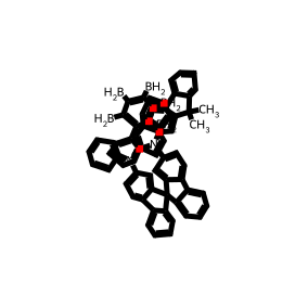 Bc1c(B)c(B)c(-c2ccccc2N(c2ccc3c(c2)C(C)(C)c2ccccc2-3)c2ccc3c(c2)C2(c4ccccc4-c4ccc(N(c5ccccc5)c5ccc6ccccc6c5)cc42)c2ccccc2-3)c(B)c1B